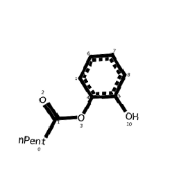 CCCCCC(=O)Oc1ccccc1O